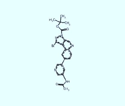 CC(=O)Nc1cncc(-c2ccc3ncc4c(c(Br)nn4C(=O)OC(C)(C)C)c3c2)c1